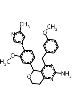 COc1cccc(Cc2nc(N)nc3c2C(c2ccc(-n4cnc(C)c4)c(OC)c2)OCC3)c1